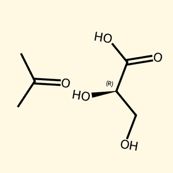 CC(C)=O.O=C(O)[C@H](O)CO